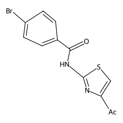 CC(=O)c1csc(NC(=O)c2ccc(Br)cc2)n1